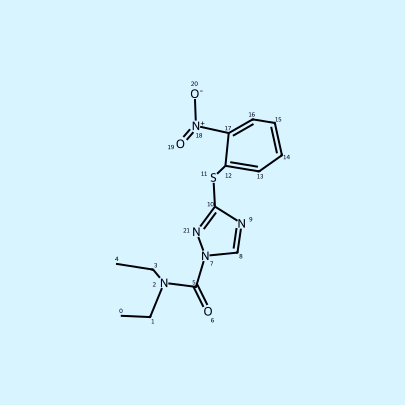 CCN(CC)C(=O)n1cnc(Sc2ccccc2[N+](=O)[O-])n1